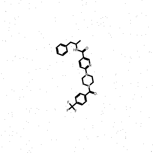 CC(Cc1ccccc1)NC(=O)c1ccc(N2CCN(C(=O)c3ccc(C(F)(F)F)cc3)CC2)nc1